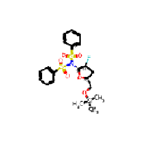 C[Si](C)(C)OC[C@@H]1C[C@H](F)[C@@H](N(S(=O)(=O)c2ccccc2)S(=O)(=O)c2ccccc2)O1